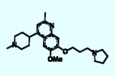 COc1cc2c(C3CCN(C)CC3)cc(C)nc2cc1OCCCN1CCCC1